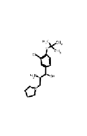 CC(C)(C)Oc1ccc([C@@H](O)[C@H](N)CN2CCCC2)cc1Cl